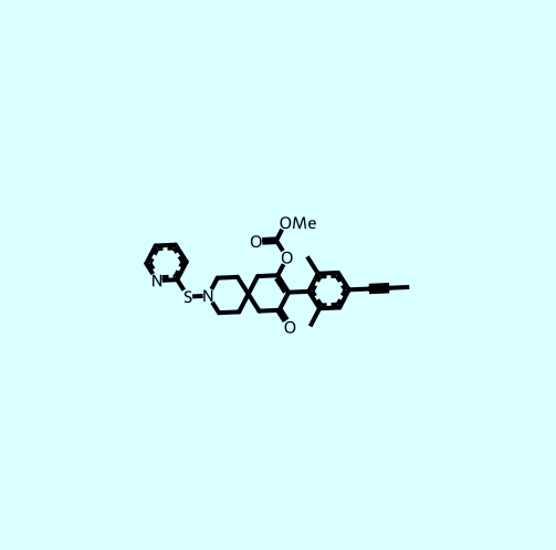 CC#Cc1cc(C)c(C2=C(OC(=O)OC)CC3(CCN(Sc4ccccn4)CC3)CC2=O)c(C)c1